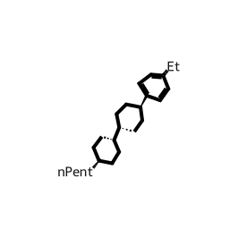 CCCCC[C@H]1CC[C@H]([C@H]2CC[C@H](c3ccc(CC)cc3)CC2)CC1